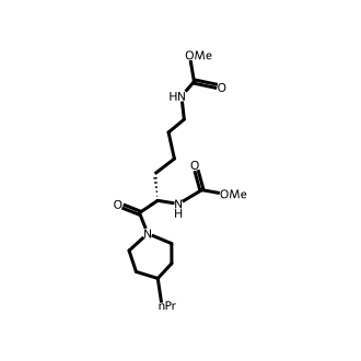 CCCC1CCN(C(=O)[C@H](CCCCNC(=O)OC)NC(=O)OC)CC1